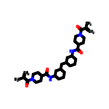 C=C(C)C(=O)N1CCC(C(=O)NC2CCCC(CC3CCCC(NC(=O)C4CCN(C(=O)C(=C)C)CC4)C3)C2)CC1